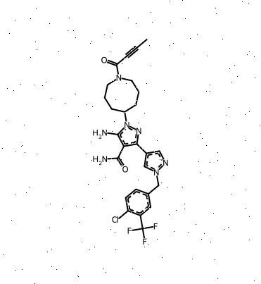 CC#CC(=O)N1CCCC(n2nc(-c3cnn(Cc4ccc(Cl)c(C(F)(F)F)c4)c3)c(C(N)=O)c2N)CCC1